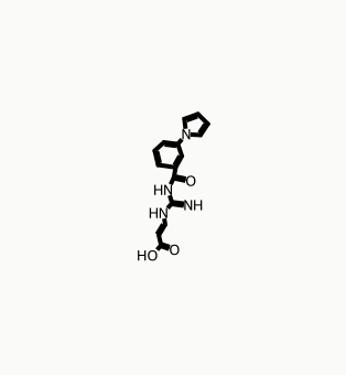 N=C(NC=CC(=O)O)NC(=O)c1cccc(-n2cccc2)c1